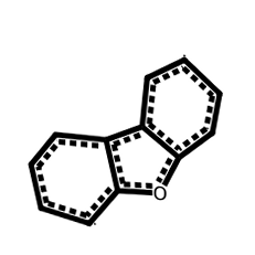 [c]1ccc2oc3[c]cccc3c2c1